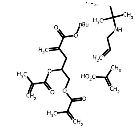 C=C(C)C(=O)O.C=C(C)C(=O)OCC(CC(=C)C(=O)OCCCC)OC(=O)C(=C)C.C=CCNC(C)(C)CS(=O)(=O)O